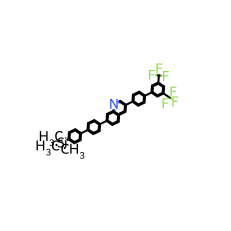 C[Si](C)(C)c1ccc(-c2ccc(-c3ccc4cc(-c5ccc(-c6cc(C(F)(F)F)cc(C(F)(F)F)c6)cc5)cnc4c3)cc2)cc1